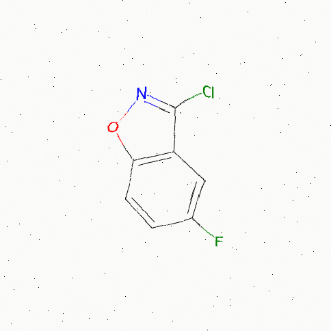 Fc1ccc2onc(Cl)c2c1